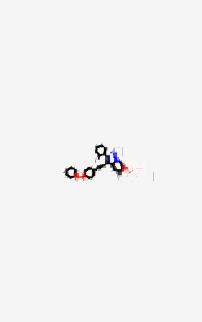 Cn1c(-c2ccccc2C(F)(F)F)c(C#Cc2ccc(Oc3ccccc3)cc2)c2cc(C(=O)O)c(O)cc21